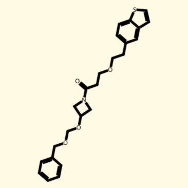 O=C(CCOCCc1ccc2sccc2c1)N1CC(OCOCc2ccccc2)C1